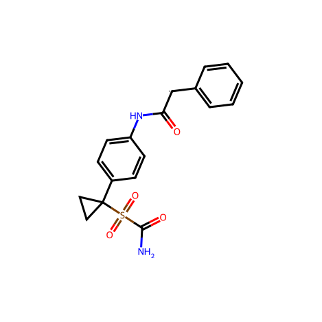 NC(=O)S(=O)(=O)C1(c2ccc(NC(=O)[CH]c3ccccc3)cc2)CC1